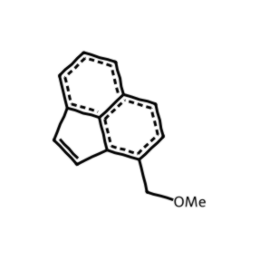 COCc1ccc2cccc3c2c1C=C3